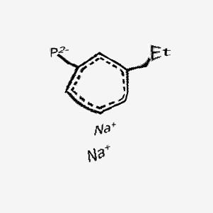 CCc1cccc([P-2])c1.[Na+].[Na+]